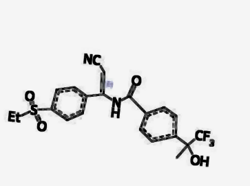 CCS(=O)(=O)c1ccc(/C(=C\C#N)NC(=O)c2ccc(C(C)(O)C(F)(F)F)cc2)cc1